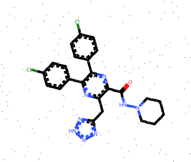 O=C(NN1CCCCC1)c1nc(-c2ccc(Cl)cc2)c(-c2ccc(Cl)cc2)nc1Cc1nn[nH]n1